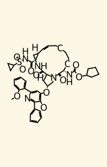 COc1ccccc1-c1cc(O[C@@H]2C[C@H]3C(=O)N[C@]4(C(=O)NS(=O)(=O)C5CC5)C[C@H]4/C=C\CCCCC[C@H](NC(=O)OC4CCCC4)C(=O)N3C2)c2oc3ccccc3c2n1